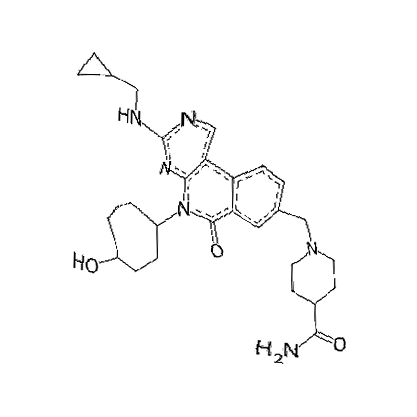 NC(=O)C1CCN(Cc2ccc3c(c2)c(=O)n(C2CCC(O)CC2)c2nc(NCC4CC4)ncc32)CC1